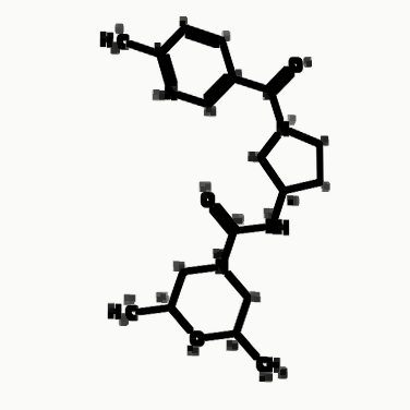 Cc1ccc(C(=O)N2CCC(NC(=O)N3CC(C)OC(C)C3)C2)cn1